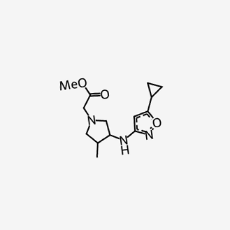 COC(=O)CN1CC(C)C(Nc2cc(C3CC3)on2)C1